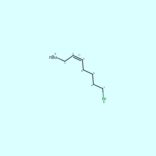 CCCCC/C=C\CCCCBr